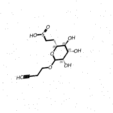 C#CCCOC1O[C@H](CCS(=O)O)[C@@H](O)[C@H](O)[C@@H]1O